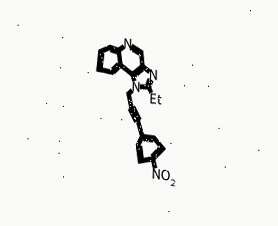 CCc1nc2cnc3ccccc3c2n1CC#Cc1ccc([N+](=O)[O-])cc1